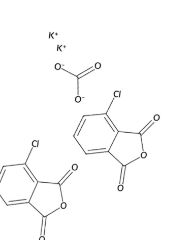 O=C([O-])[O-].O=C1OC(=O)c2c(Cl)cccc21.O=C1OC(=O)c2c(Cl)cccc21.[K+].[K+]